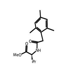 COC(=O)[C@@H](NC(=O)Cc1c(C)cc(C)cc1C)C(C)C